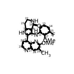 COc1nc2c(-c3[nH]c4c(c3Nc3cccc(F)c3OC)C(=O)NCC4)ccnc2cc1C